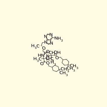 C[C@H](Cn1cnc2c(N)ncnc21)OCP(=O)(NC(C)(C)C(=O)OCC1CCC(C)(C)CC1)NC(C)(C)C(O)OCC1CCC(C)(C)CC1